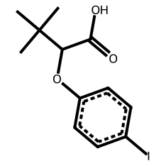 CC(C)(C)C(Oc1ccc(I)cc1)C(=O)O